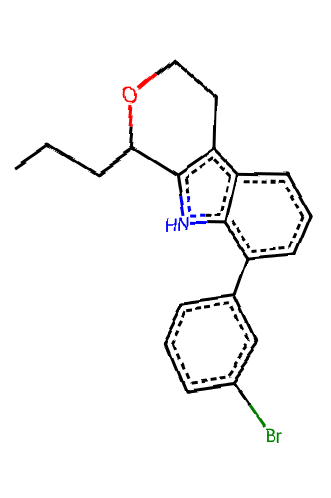 CCCC1OCCc2c1[nH]c1c(-c3cccc(Br)c3)cccc21